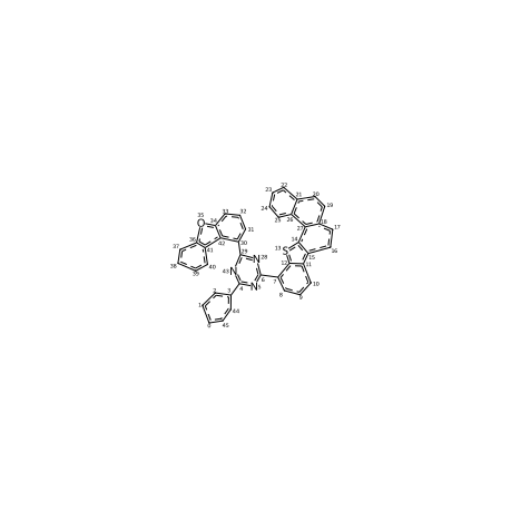 c1ccc(-c2nc(-c3cccc4c3sc3c4ccc4ccc5ccccc5c43)nc(-c3cccc4oc5ccccc5c34)n2)cc1